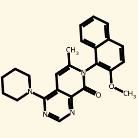 COc1ccc2ccccc2c1-n1c(C)cc2c(N3CCCCC3)ncnc2c1=O